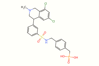 CN1Cc2c(Cl)cc(Cl)cc2C(c2cccc(S(=O)(=O)NCc3ccc(CP(=O)(O)O)cc3)c2)C1